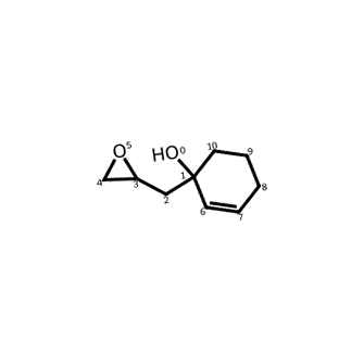 OC1(CC2CO2)C=CCCC1